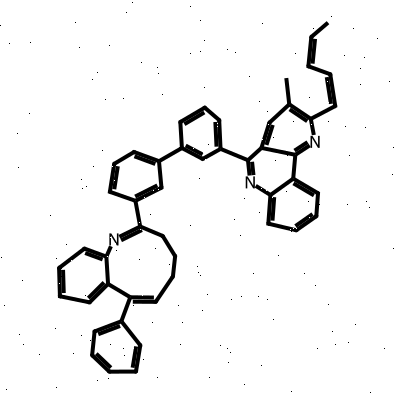 C/C=C\C=C/c1nc2c(cc1C)c(-c1cccc(-c3cccc(/C4=N/c5ccccc5/C(c5ccccc5)=C\CCC4)c3)c1)nc1ccccc12